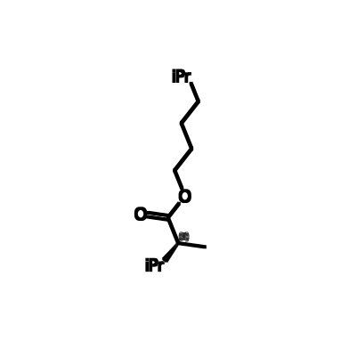 CC(C)CCCCOC(=O)[C@@H](C)C(C)C